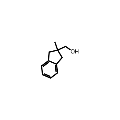 CC1(CO)Cc2ccccc2C1